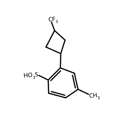 Cc1ccc(S(=O)(=O)O)c(C2CC(C(F)(F)F)C2)c1